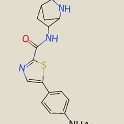 CC(=O)Nc1ccc(-c2cnc(C(=O)NC3CC4CNC3C4)s2)cc1